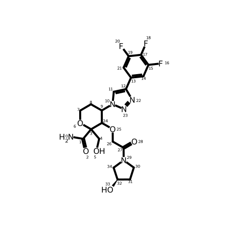 NC(=O)C1(CO)OCCC(n2cc(-c3cc(F)c(F)c(F)c3)nn2)C1OCC(=O)N1CC[C@@H](O)C1